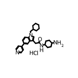 Cl.NC1CCC(NC(=O)Cc2cn(CC3CCCCC3)c3ccc(-c4ccncc4)cc23)CC1